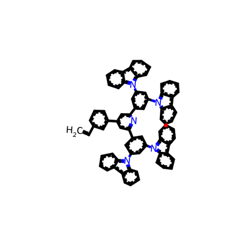 C=Cc1cccc(-c2cc(-c3cc(-n4c5ccccc5c5ccccc54)cc(-n4c5ccccc5c5ccccc54)c3)nc(-c3cc(-n4c5ccccc5c5ccccc54)cc(-n4c5ccccc5c5ccccc54)c3)c2)c1